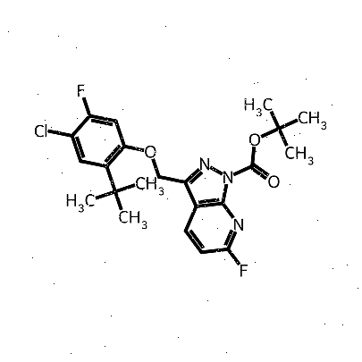 CC(C)(C)OC(=O)n1nc(COc2cc(F)c(Cl)cc2C(C)(C)C)c2ccc(F)nc21